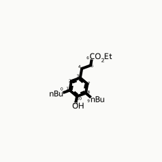 CCCCc1cc(CCC(=O)OCC)cc(CCCC)c1O